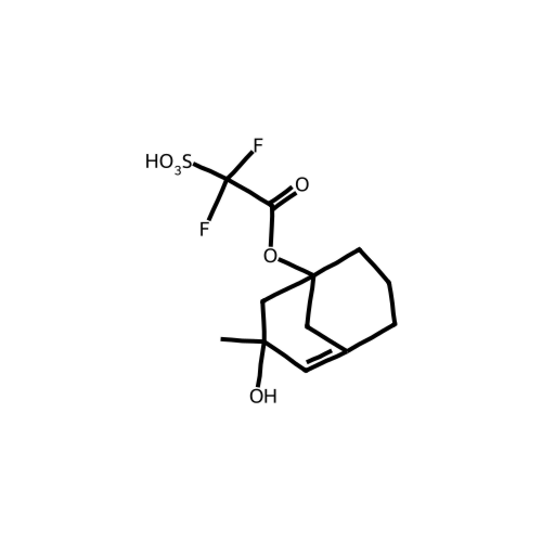 CC1(O)C=C2CCCC(OC(=O)C(F)(F)S(=O)(=O)O)(C2)C1